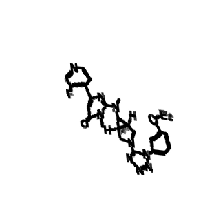 CCOc1cccc(-n2nnnc2N2C[C@@H]3C(N(C)c4nc(-c5ccncc5F)cc(=O)n4C)[C@@H]3C2)c1